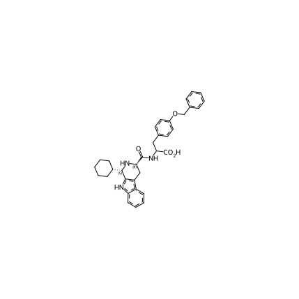 O=C(O)C(Cc1ccc(OCc2ccccc2)cc1)NC(=O)[C@H]1Cc2c([nH]c3ccccc23)[C@H](C2CCCCC2)N1